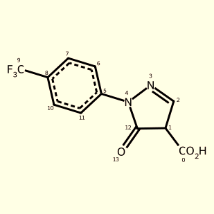 O=C(O)C1C=NN(c2ccc(C(F)(F)F)cc2)C1=O